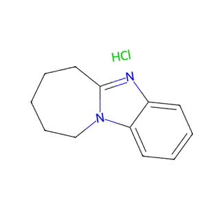 Cl.c1ccc2c(c1)nc1n2CCCCC1